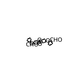 O=Cc1ccccc1Oc1ccc(S(=O)(=O)c2ccc(Oc3ccccc3C=O)cc2)cc1